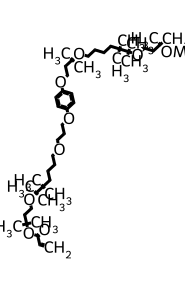 C=CC(=O)OC(C)(C)CCOC(C)(C)C(C)(C)CCCCOCCCOc1ccc(OCCC(C)(C)OCCCCC(C)(C)C(C)(C)OCCC(C)(C)OC)cc1